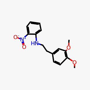 COc1ccc(CCNc2ccccc2[N+](=O)[O-])cc1OC